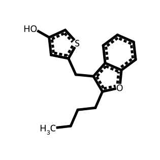 CCCCc1oc2ccccc2c1Cc1cc(O)cs1